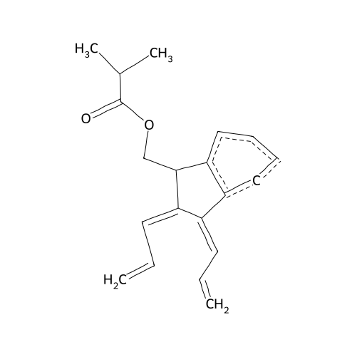 C=C/C=C1\C(=C/C=C)c2ccccc2C1COC(=O)C(C)C